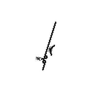 CCCCCCCCCCCCCCCCCCCCCCCCCCCCCc1cccc(C(=CC=C=[N+]=[N-])c2ccc(CCCCCC)cc2)c1.CCCC[O][Ni][O]CCCC